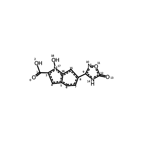 O=C(O)c1cc2ccc(-c3noc(=O)[nH]3)cc2n1O